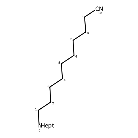 [CH2]CCCCCCCCCCCCCC[CH]C#N